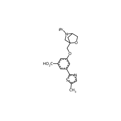 Cc1cnc(-c2cc(OCC34CC(CO3)N(C(C)C)C4)cc(C(=O)O)c2)s1